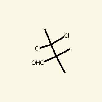 CC(Cl)(Cl)C(C)(C)C=O